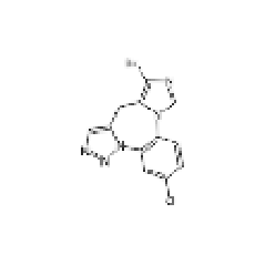 Clc1ccc2c(c1)-n1nncc1Cc1c(Br)ncn1-2